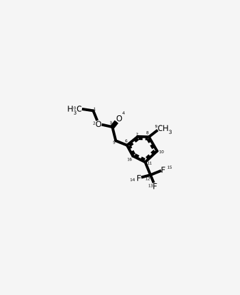 CCOC(=O)Cc1cc(C)cc(C(F)(F)F)c1